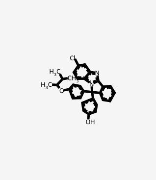 CC(C)C(C)Oc1ccc(C2(c3ccc(O)cc3)c3ccccc3-c3nc4cc(Cl)ccc4n32)cc1